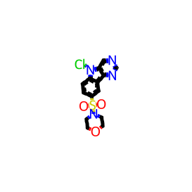 O=S(=O)(c1ccc2c(c1)c1ncncc1n2Cl)N1CCOCC1